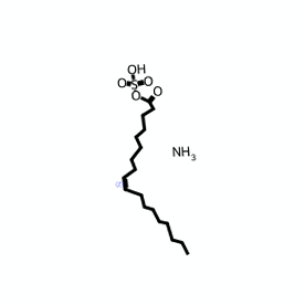 CCCCCCCC/C=C\CCCCCCCC(=O)OS(=O)(=O)O.N